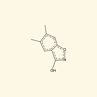 Cc1cc2onc(O)c2cc1C